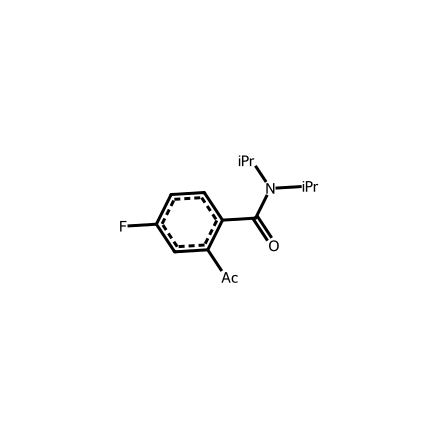 CC(=O)c1cc(F)ccc1C(=O)N(C(C)C)C(C)C